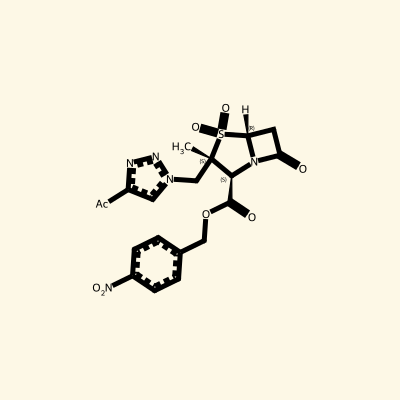 CC(=O)c1cn(C[C@@]2(C)[C@H](C(=O)OCc3ccc([N+](=O)[O-])cc3)N3C(=O)C[C@H]3S2(=O)=O)nn1